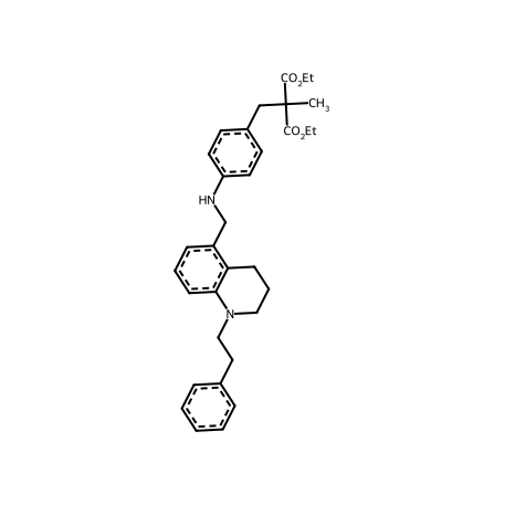 CCOC(=O)C(C)(Cc1ccc(NCc2cccc3c2CCCN3CCc2ccccc2)cc1)C(=O)OCC